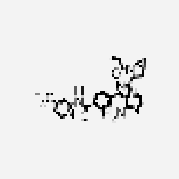 C=CC(=O)N1C2CC2C[C@H]1c1nc(-c2ccc(C(=O)Nc3cc(C(F)(F)F)ccn3)cc2)c2c(N)nccn12